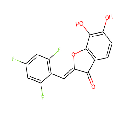 O=C1/C(=C/c2c(F)cc(F)cc2F)Oc2c1ccc(O)c2O